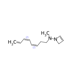 C=C/C=C\C=C/CCN(C)N1C=CC1